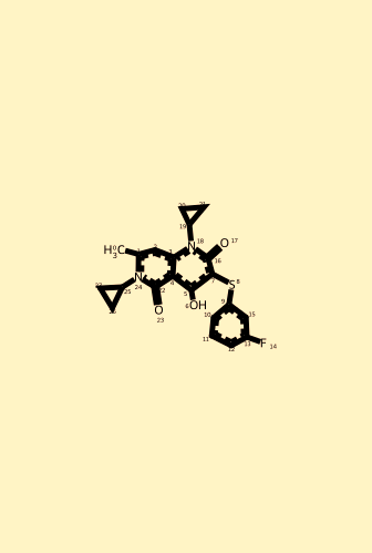 Cc1cc2c(c(O)c(Sc3cccc(F)c3)c(=O)n2C2CC2)c(=O)n1C1CC1